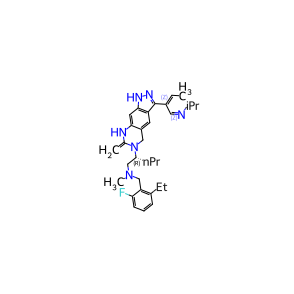 C=C1Nc2cc3[nH]nc(C(/C=N\C(C)C)=C/C)c3cc2CN1[C@H](CCC)CN(C)Cc1c(F)cccc1CC